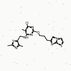 Cc1nc(C)c(CNc2nc(OCCCc3cn4ccsc4n3)nc(Cl)c2C)s1